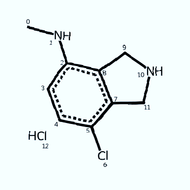 CNc1ccc(Cl)c2c1CNC2.Cl